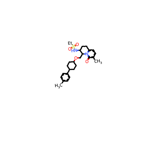 CCS(=O)(=O)NC1CCc2ccc(C)c(=O)n2C1COC1CCC(c2ccc(C)cc2)CC1